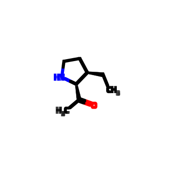 CC[C@@H]1CCN[C@@H]1C(C)=O